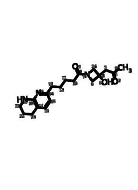 CC(=O)CC1(O)CN(C(=O)CCCCc2ccc3c(n2)NCCC3)C1